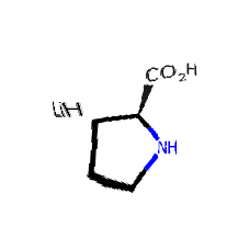 O=C(O)[C@@H]1CCCN1.[LiH]